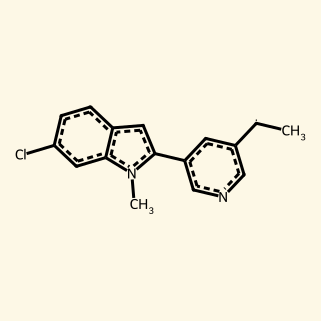 C[CH]c1cncc(-c2cc3ccc(Cl)cc3n2C)c1